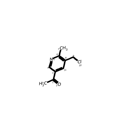 CC(=O)c1cnc(C)c(CCl)c1